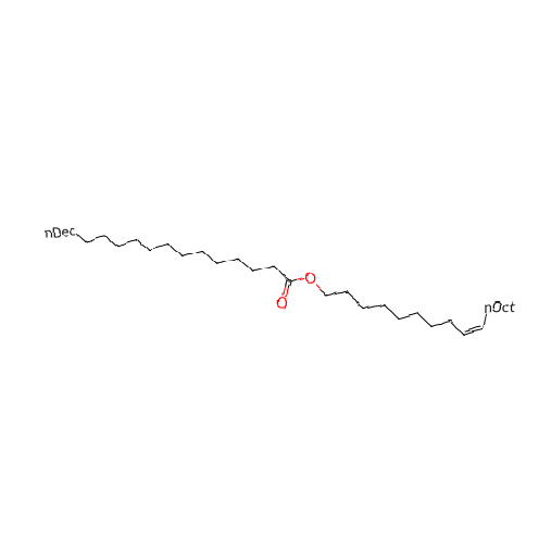 CCCCCCCC/C=C\CCCCCCCCOC(=O)CCCCCCCCCCCCCCCCCCCCCC